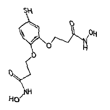 O=C(CCOc1ccc(S)cc1OCCC(=O)NO)NO